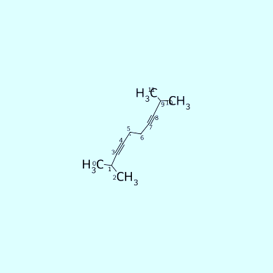 CC(C)C#C[CH]CC#CC(C)C